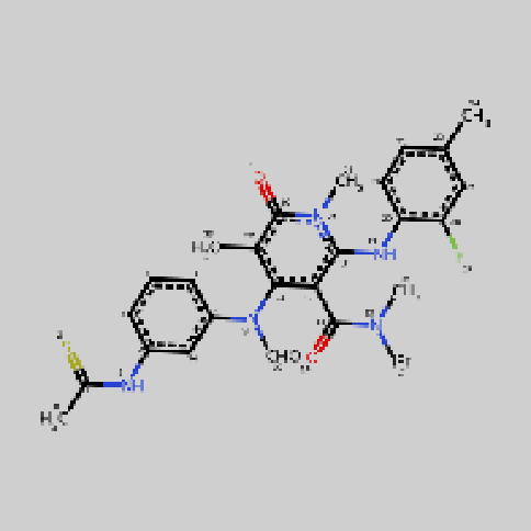 CC(=S)Nc1cccc(N(C=O)c2c(C(=O)N(C)C(C)C)c(Nc3ccc(C)cc3F)n(C)c(=O)c2C)c1